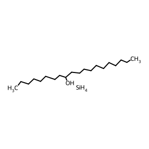 CCCCCCCCCCCC(O)CCCCCCCC.[SiH4]